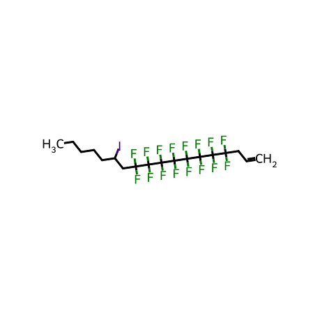 C=CCC(F)(F)C(F)(F)C(F)(F)C(F)(F)C(F)(F)C(F)(F)C(F)(F)C(F)(F)CC(I)CCCCC